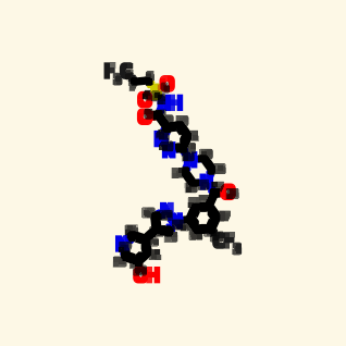 O=C(NS(=O)(=O)CCC(F)(F)F)c1ccc(N2CCN(C(=O)c3cc(-n4cc(-c5cncc(O)c5)cn4)cc(C(F)(F)F)c3)CC2)nn1